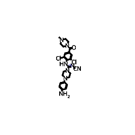 CN1CCN(C(=O)c2cc(Cl)c(N/C(=N/C#N)N3CCN(c4ccc(N)cc4)CC3)c(Cl)c2)CC1